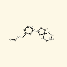 O=COCc1cccc(N2COC3(CCNCC3)C2)c1